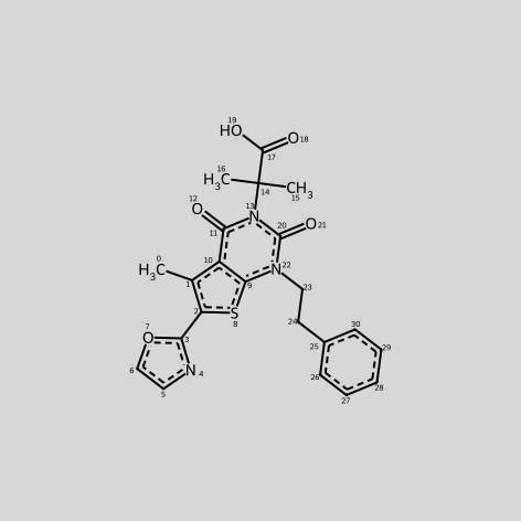 Cc1c(-c2ncco2)sc2c1c(=O)n(C(C)(C)C(=O)O)c(=O)n2CCc1ccccc1